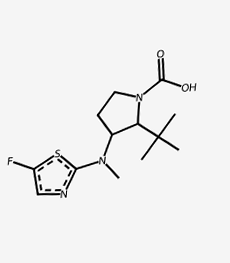 CN(c1ncc(F)s1)C1CCN(C(=O)O)C1C(C)(C)C